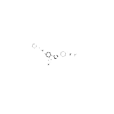 CC(C)OC(=O)N[C@H]1CC[C@H](c2ncc(-c3ccc(NC(=O)OC[C@@H]4CCCN4)cc3S(=O)(=O)NC(C)(C)C)s2)CC1